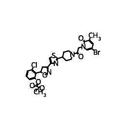 Cc1cc(Br)cn(CC(=O)N2CCC(c3nc(C4=NOC(c5c(Cl)cccc5OS(C)(=O)=O)C4)cs3)CC2)c1=O